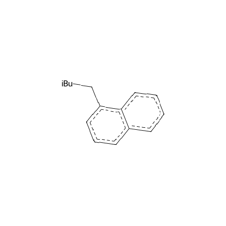 [CH2]CC(C)Cc1cccc2ccccc12